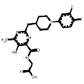 Cc1nc(CC2CCN(c3ccc(F)c(F)c3)CC2)nc(C(=O)NCC(=O)O)c1O